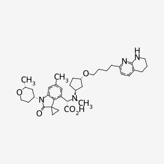 Cc1cc([C@@H](C(=O)O)N(C)[C@H]2CC[C@H](OCCCCc3ccc4c(n3)NCCC4)C2)c2c(c1)N([C@@H]1CCO[C@H](C)C1)C(=O)C21CC1